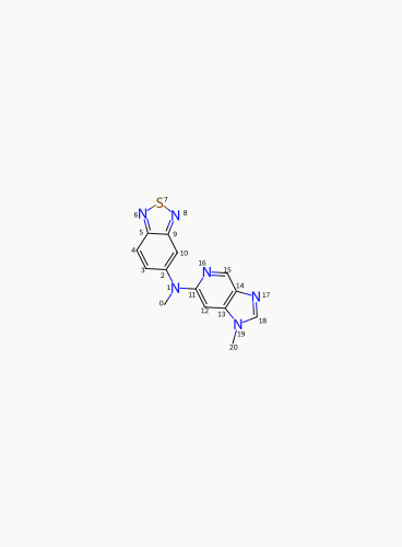 CN(c1ccc2nsnc2c1)c1cc2c(cn1)ncn2C